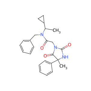 CC(C1CC1)N(Cc1ccccc1)C(=O)CN1C(=O)NC(C)(c2ccccc2)C1=O